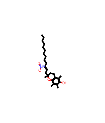 CCCCCCCCCCC(=CCC1(C)CCc2c(C)c(O)c(C)c(C)c2O1)[N+](=O)[O-]